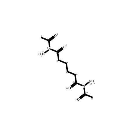 CC(=O)N(N)C(=O)CCCCC(=O)N(N)C(C)=O